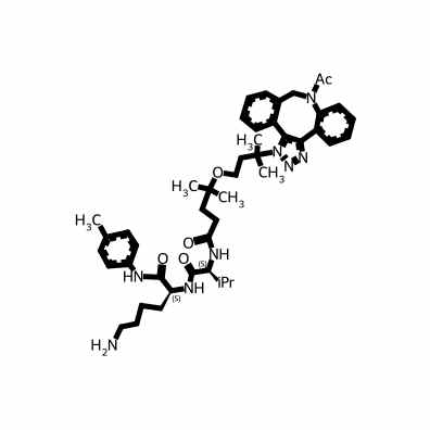 CC(=O)N1Cc2ccccc2-c2c(nnn2C(C)(C)CCOC(C)(C)CCC(=O)N[C@H](C(=O)N[C@@H](CCCCN)C(=O)Nc2ccc(C)cc2)C(C)C)-c2ccccc21